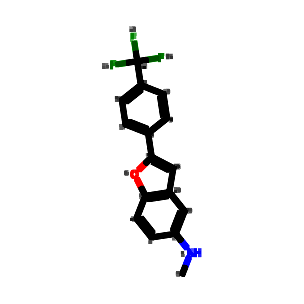 CNc1ccc2oc(-c3ccc(C(F)(F)F)cc3)cc2c1